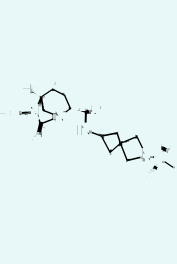 CS(=O)(=O)N1CC2(CC(NC(=O)[C@@H]3CC[C@@H]4CN3C(=O)N4O)C2)C1